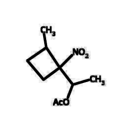 CC(=O)OC(C)C1([N+](=O)[O-])CCC1C